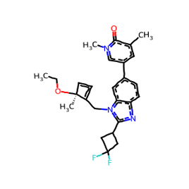 CCO[C@@]1(C)C=C=C1Cn1c(C2CC(F)(F)C2)nc2ccc(-c3cc(C)c(=O)n(C)c3)cc21